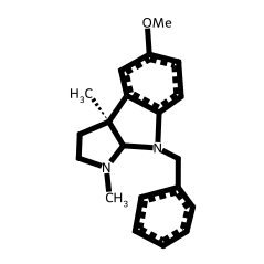 COc1ccc2c(c1)[C@]1(C)CCN(C)C1N2Cc1ccccc1